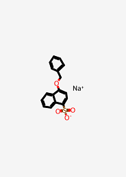 O=S(=O)([O-])c1ccc(OCc2ccccc2)c2ccccc12.[Na+]